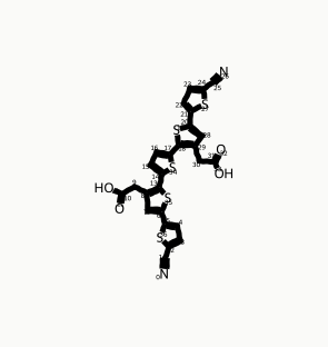 N#Cc1ccc(-c2cc(CC(=O)O)c(-c3ccc(-c4sc(-c5ccc(C#N)s5)cc4CC(=O)O)s3)s2)s1